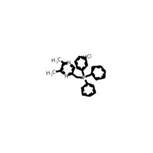 Cc1ncc(C[P](c2ccccc2)(c2ccccc2)c2ccccc2)nc1C.Cl